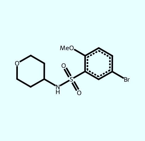 COc1ccc(Br)cc1S(=O)(=O)NC1CCOCC1